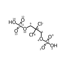 O=S(=O)(O)OCC(Cl)(Cl)COS(=O)(=O)O